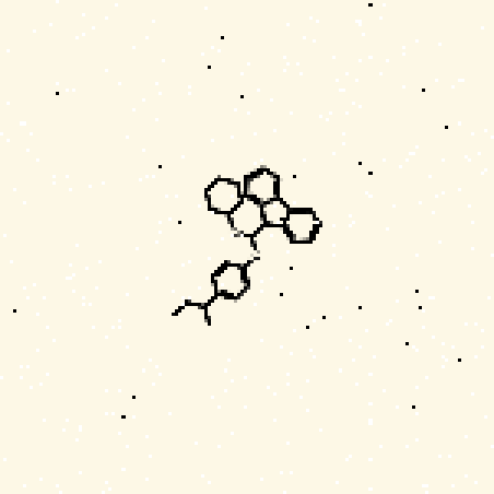 CCC(C)c1ccc(OC(OC2CCCCC2)C2c3ccccc3-c3ccccc32)cc1